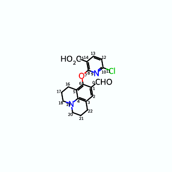 O=Cc1cc2c3c(c1Oc1nc(Cl)ccc1C(=O)O)CCCN3CCC2